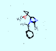 COC1(c2cnc(C)n2[C@H](C)c2ccccc2)CC1